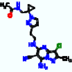 CC(=O)NCC1(n2ccc(CCNc3nc4c(Cl)c(C)nn4c(N)c3C#N)n2)CC1